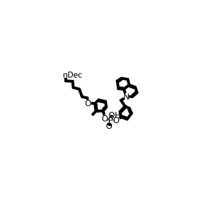 CCCCCCCCCCCCCCCCOc1cccc(OP(=O)(O)Oc2cccc(CN3C=CC=C4CC=CC=C43)c2)c1C